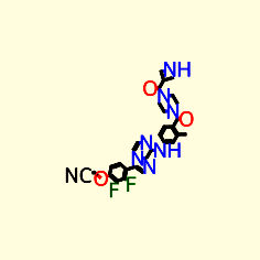 Cc1cc(Nc2nccn3c(-c4ccc(OCC#N)c(F)c4F)cnc23)ccc1C(=O)N1CCN(C(=O)C2CNC2)CC1